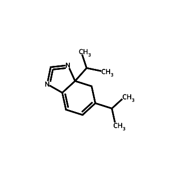 CC(C)C1=CC=C2N=C=NC2(C(C)C)C1